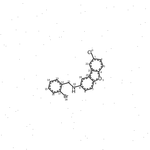 Clc1ccc2oc3ccc(NCc4ccccc4Br)cc3c2c1